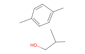 CC(C)CO.Cc1ccc(C)cc1